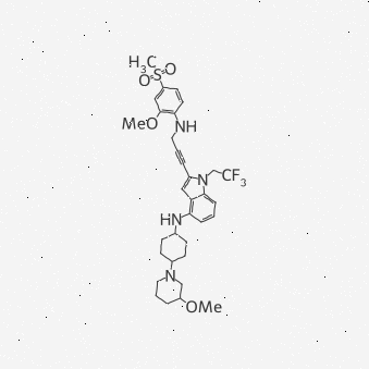 COc1cc(S(C)(=O)=O)ccc1NCC#Cc1cc2c(NC3CCC(N4CCCC(OC)C4)CC3)cccc2n1CC(F)(F)F